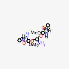 COc1cc2c(cc1OCc1cc(N)cc(COc3cc4c(cc3OC)C(=O)N3c5ccccc5C[C@H]3CN4)c1)NC[C@@H]1Cc3ccccc3N1C2=O